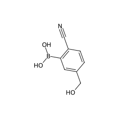 N#Cc1ccc(CO)cc1B(O)O